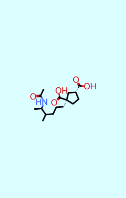 CC(=O)NC(C)C(C)CCC[C@@]1(C(=O)O)CC[C@@H](C(=O)O)C1